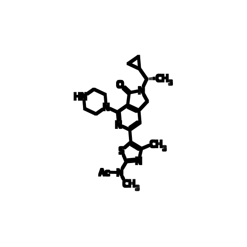 CC(=O)N(C)c1nc(C)c(-c2cc3c(c(N4CCNCC4)n2)C(=O)N([C@@H](C)C2CC2)C3)s1